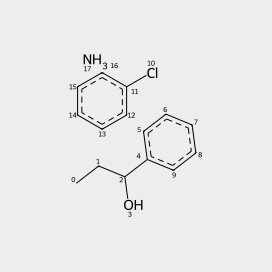 CCC(O)c1ccccc1.Clc1ccccc1.N